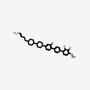 C/C=C/CCC1CCC(C2CCC(c3ccc(-c4ccc(-c5ccc(OCCC)c(F)c5F)cc4)c(F)c3)CC2)CC1